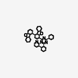 c1ccc(-c2nc(-c3ccccc3-c3cccnc3)nc(-c3ccc(-c4cccc5oc6ccccc6c45)c4c3oc3ccccc34)n2)cc1